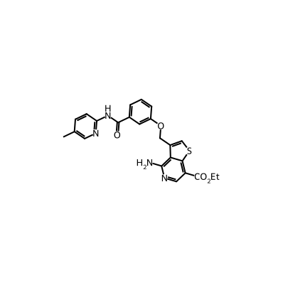 CCOC(=O)c1cnc(N)c2c(COc3cccc(C(=O)Nc4ccc(C)cn4)c3)csc12